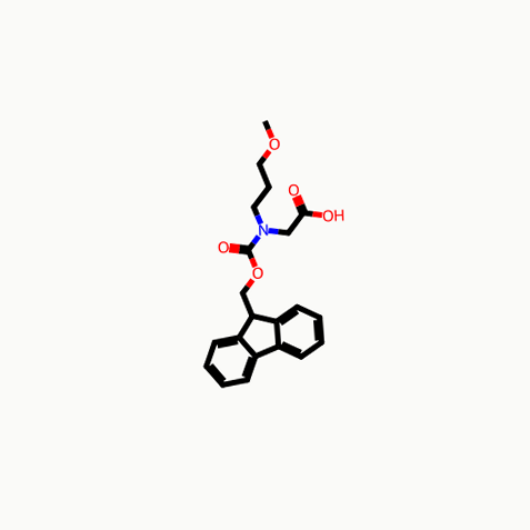 COCCCN(CC(=O)O)C(=O)OCC1c2ccccc2-c2ccccc21